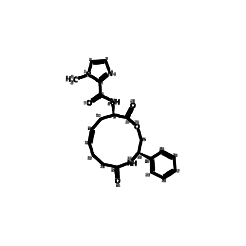 Cn1ccnc1C(=O)N[C@@H]1CC=CCCC(=O)N[C@H](c2ccccc2)COC1=O